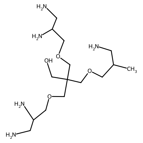 CC(CN)COCC(CO)(COCC(N)CN)COCC(N)CN